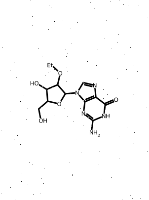 CCOC1C(O)C(CO)OC1n1cnc2c(=O)[nH]c(N)nc21